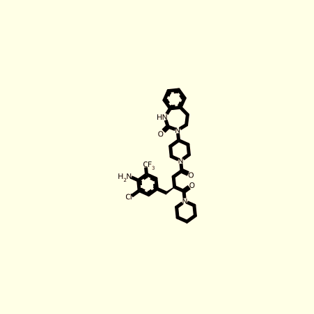 Nc1c(Cl)cc(C[C@@H](CC(=O)N2CCC(N3CCc4ccccc4NC3=O)CC2)C(=O)N2CC[CH]CC2)cc1C(F)(F)F